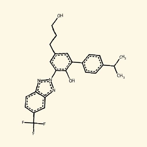 CC(C)c1ccc(-c2cc(CCCO)cc(-n3nc4ccc(C(F)(F)F)cc4n3)c2O)cc1